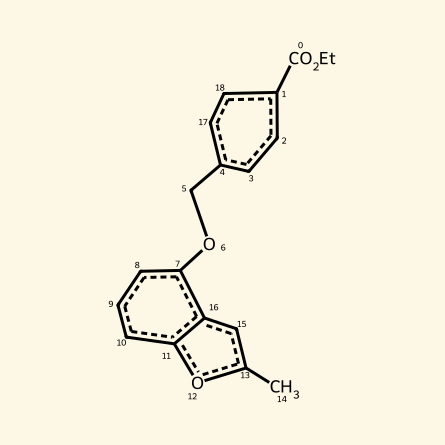 CCOC(=O)c1ccc(COc2cccc3oc(C)cc23)cc1